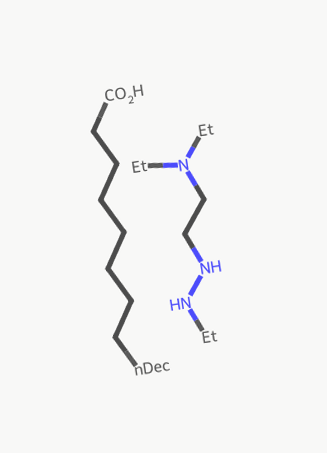 CCCCCCCCCCCCCCCCCC(=O)O.CCNNCCN(CC)CC